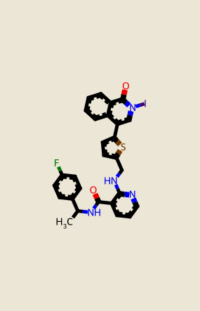 CC(NC(=O)c1cccnc1NCc1ccc(-c2cn(I)c(=O)c3ccccc23)s1)c1ccc(F)cc1